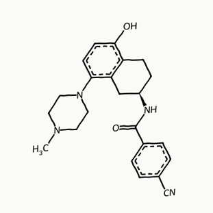 CN1CCN(c2ccc(O)c3c2C[C@H](NC(=O)c2ccc(C#N)cc2)CC3)CC1